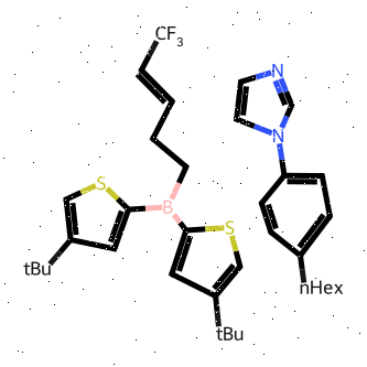 CC(C)(C)c1csc(B(CCC=CC(F)(F)F)c2cc(C(C)(C)C)cs2)c1.CCCCCCc1ccc(-n2ccnc2)cc1